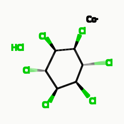 Cl.Cl[C@H]1[C@H](Cl)[C@@H](Cl)[C@@H](Cl)[C@H](Cl)[C@H]1Cl.[Co]